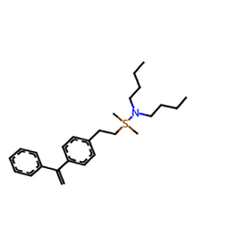 C=C(c1ccccc1)c1ccc(CCS(C)(C)N(CCCC)CCCC)cc1